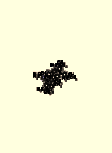 C/C=C(\C=C/CN(c1ccc(C(C)(C)C)cc1)c1cc2c(c3c1-c1ccccc1C3(C)C)-c1ccc(N(c3ccc(C(C)(C)C)cc3)c3ccc(C(C)(C)C)cc3)cc1C21c2ccccc2-c2ccccc21)C(C)(C)C